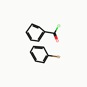 Brc1ccccc1.O=C(Cl)c1ccccc1